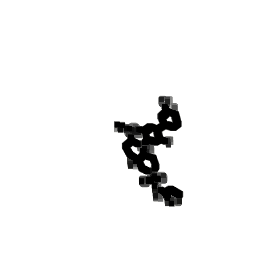 COc1cc(-c2cccc(C(F)(F)F)c2)c(F)cc1N1C(O)CC[C@H]2CN(S(=O)(=O)Nc3ccon3)CC[C@@H]21